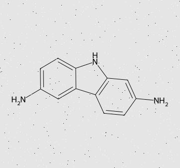 Nc1ccc2c(c1)[nH]c1ccc(N)cc12